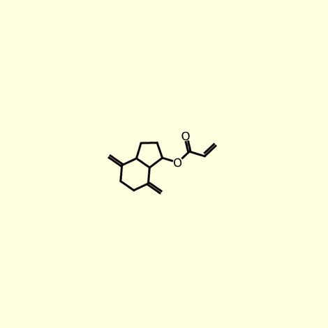 C=CC(=O)OC1CCC2C(=C)CCC(=C)C12